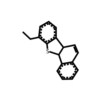 CCc1cccc2c1SC1c3ccccc3C=CC21